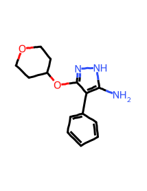 Nc1[nH]nc(OC2CCOCC2)c1-c1ccccc1